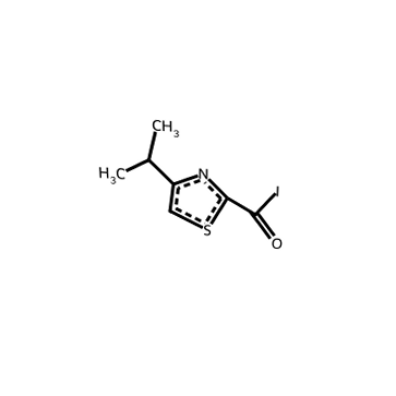 CC(C)c1csc(C(=O)I)n1